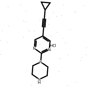 C(#CC1CC1)c1cnc(N2CCNCC2)nc1.Cl